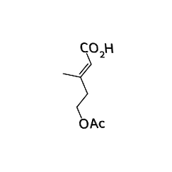 CC(=O)OCC/C(C)=C/C(=O)O